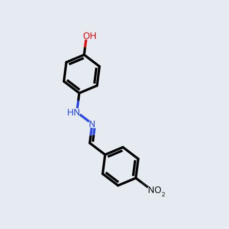 O=[N+]([O-])c1ccc(/C=N/Nc2ccc(O)cc2)cc1